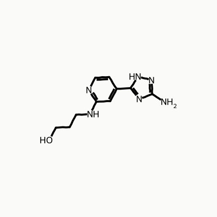 Nc1n[nH]c(-c2ccnc(NCCCO)c2)n1